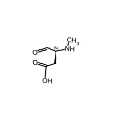 CN[C@H]([C]=O)CC(=O)O